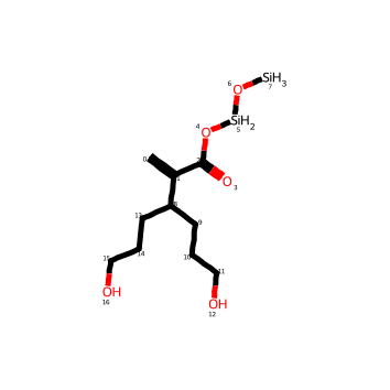 C=C(C(=O)O[SiH2]O[SiH3])C(CCCO)CCCO